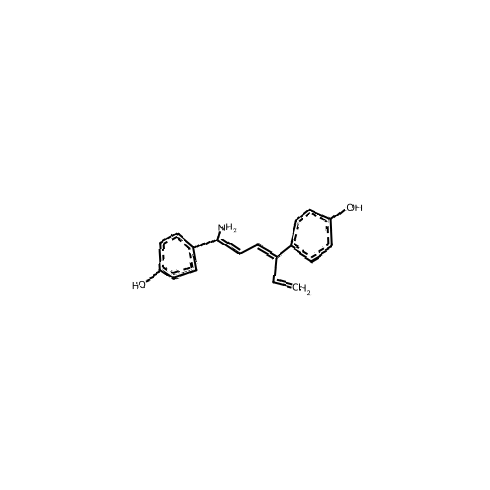 C=C/C(=C\C=C(/N)c1ccc(O)cc1)c1ccc(O)cc1